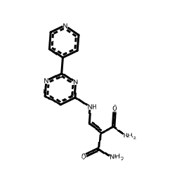 NC(=O)C(=CNc1ccnc(-c2ccncc2)n1)C(N)=O